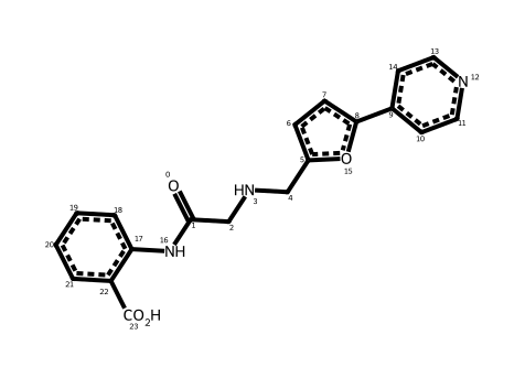 O=C(CNCc1ccc(-c2ccncc2)o1)Nc1ccccc1C(=O)O